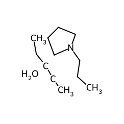 CCCCC.CCCN1CCCC1.O